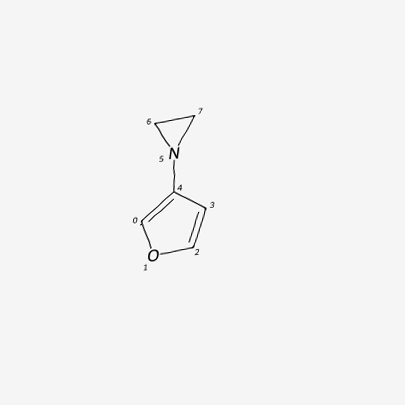 [c]1occc1N1CC1